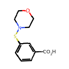 O=C(O)c1cccc(SN2CCOCC2)c1